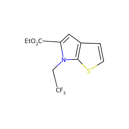 CCOC(=O)c1cc2ccsc2n1CC(F)(F)F